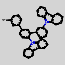 N#Cc1cccc(-c2ccc(-n3c4ccccc4c4ccccc43)c(-c3cccc(-n4c5ccccc5c5ccccc54)c3)c2)c1